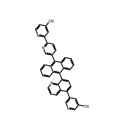 N#Cc1cncc(-c2ccc(-c3c4ccccc4c(-c4ccc(-c5cc(C#N)ccn5)nc4)c4ccccc34)c3ncccc23)c1